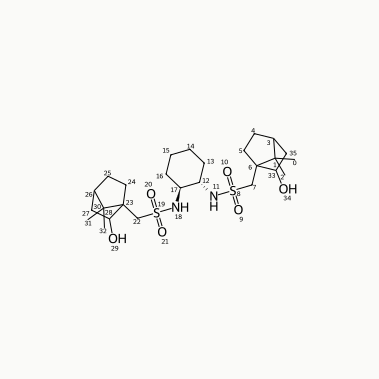 CC1(C)C2CCC1(CS(=O)(=O)N[C@H]1CCCC[C@@H]1NS(=O)(=O)CC13CCC(CC1O)C3(C)C)C(O)C2